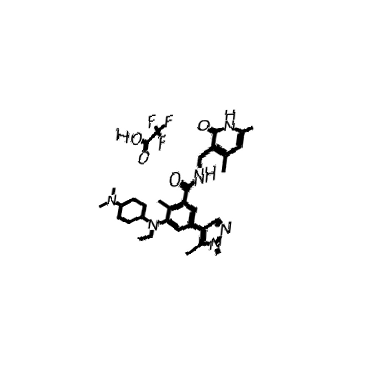 CCN(c1cc(-c2cnn(C)c2C)cc(C(=O)NCc2c(C)cc(C)[nH]c2=O)c1C)C1CCC(N(C)C)CC1.O=C(O)C(F)(F)F